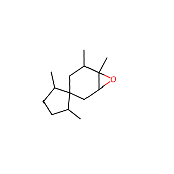 CC1CCC(C)C12CC(C)C1(C)OC1C2